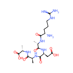 C[C@H](NC(=O)[C@H](C)NC(=O)[C@H](CC(=O)O)NC(=O)[C@H](C)NC(=O)[C@@H](N)CCCNC(=N)N)C(=O)O